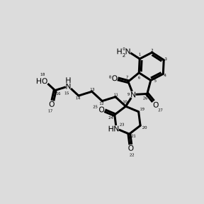 Nc1cccc2c1C(=O)N(C1(CCCCNC(=O)O)CCC(=O)NC1=O)C2=O